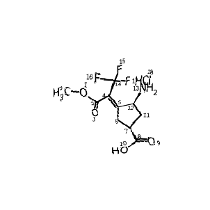 COC(=O)/C(=C1\C[C@H](C(=O)O)C[C@@H]1N)C(F)(F)F.Cl